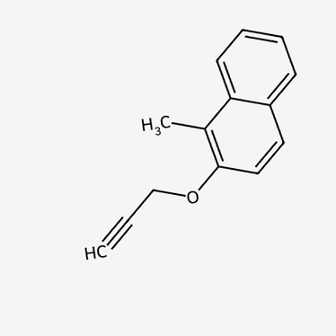 C#CCOc1ccc2ccccc2c1C